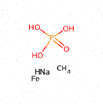 C.O=P(O)(O)O.[Fe].[NaH]